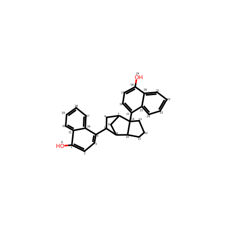 Oc1ccc(C2CC3CC2C2CCCC32c2ccc(O)c3ccccc23)c2ccccc12